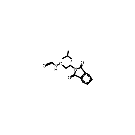 CC(C)C[C@@H](CONC=O)N1C(=O)c2ccccc2C1=O